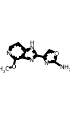 COc1nccc2[nH]c(-c3coc(N)n3)nc12